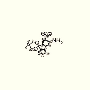 CC1(C)COC(c2ccc(N)c([N+](=O)[O-])c2)(c2cccs2)OC1